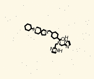 O=C(C1CCC(CN2CCC3(CCN(C4CCCCC4)CC3)C2)CC1)N(Cc1ncc[nH]1)Cc1ncc[nH]1